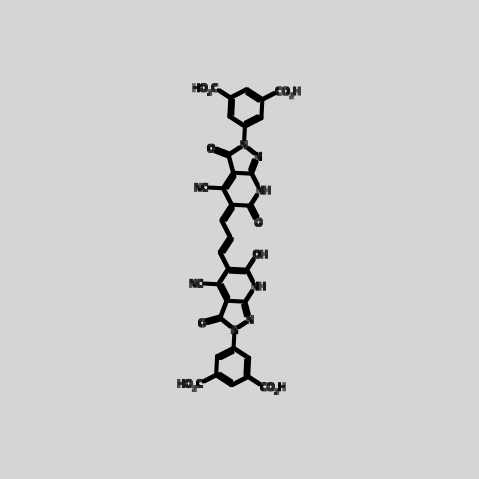 N#Cc1c(C=CC=c2c(C#N)c3c([nH]c2=O)=NN(c2cc(C(=O)O)cc(C(=O)O)c2)C3=O)c(O)[nH]c2nn(-c3cc(C(=O)O)cc(C(=O)O)c3)c(=O)c1-2